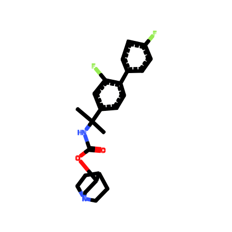 CC(C)(NC(=O)OC1CN2CCC1CC2)c1ccc(-c2ccc(F)cc2)c(F)c1